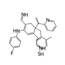 C=C(c1ccccn1)C1(Cc2ccccc2C)CC(C=N)=C(Nc2ccc(F)cc2)C=C1CCNS